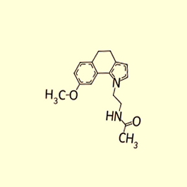 COc1ccc2c(c1)-c1c(ccn1CCNC(C)=O)CC2